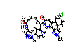 CCn1cc(-c2ccc(Cl)cc2-c2cc(=O)n([C@H]3CCC[C@@H](C)C(=O)Nc4cnn(C)c4-c4ccnc3c4)cn2)cn1